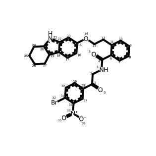 O=C(CNC(=O)c1ccccc1CCOc1ccc2c3c([nH]c2c1)CCCC3)c1ccc(Br)c([N+](=O)[O-])c1